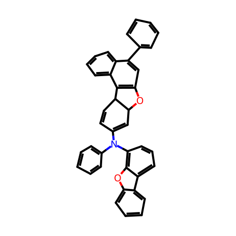 C1=CC2c3c(cc(-c4ccccc4)c4ccccc34)OC2C=C1N(c1ccccc1)c1cccc2c1oc1ccccc12